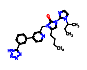 CCCCc1cn(-c2nccn2C(C)CC)c(=O)n1Cc1cc(-c2cccc(-c3nnn[nH]3)c2)ccn1